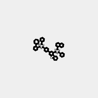 C1=CCC=CC(c2ccccc2C2N=C(c3ccc(-c4cc(-c5nc(-c6ccccc6)nc(-c6cccc7ccccc67)n5)c5c6c(oc5c4)=CCCC=6)cc3)N=C(c3ccccc3)N2)=C1